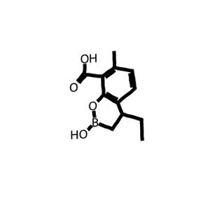 CCC1CB(O)Oc2c1ccc(C)c2C(=O)O